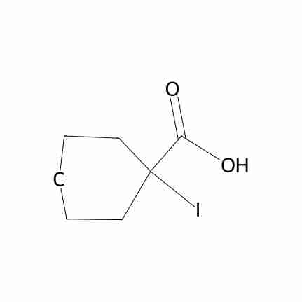 O=C(O)C1(I)CCCCC1